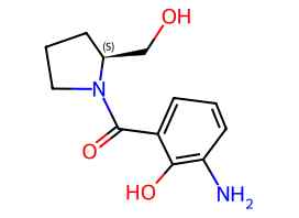 Nc1cccc(C(=O)N2CCC[C@H]2CO)c1O